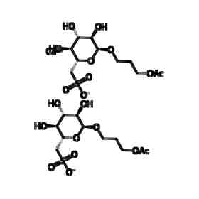 CC(=O)OCCCO[C@H]1O[C@H](CS(=O)(=O)[O-])[C@@H](O)[C@H](O)[C@H]1O.CC(=O)OCCCO[C@H]1O[C@H](CS(=O)(=O)[O-])[C@@H](O)[C@H](O)[C@H]1O.[Ca+2]